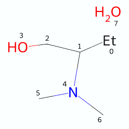 CCC(CO)N(C)C.O